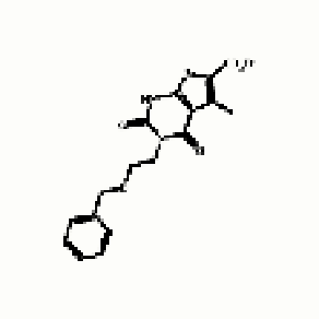 CCOC(=O)c1sc2[nH]c(=O)n(CCOCc3ccccc3)c(=O)c2c1C